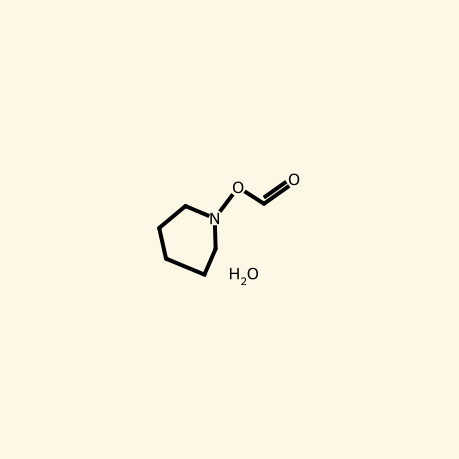 O.O=CON1CCCCC1